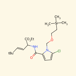 CCOC(=O)C(/C=C/C(C)(C)C)NC(=O)c1ccc(Cl)n1COCC[Si](C)(C)C